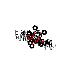 C[SiH](O[Si](C)(C)C)O[Si](C)(C)O[Si]1(C)O[Si]2(c3ccccc3)O[Si]3(c4ccccc4)O[Si]4(c5ccccc5)O[Si](C)(O[Si](C)(C)O[SiH](C)O[Si](C)(C)C)O[Si]5(c6ccccc6)O[Si](c6ccccc6)(O[Si](c6ccccc6)(O1)O[Si](c1ccccc1)(O5)O[Si](c1ccccc1)(O2)O4)O3